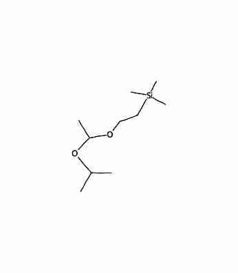 CC(C)OC(C)OCC[Si](C)(C)C